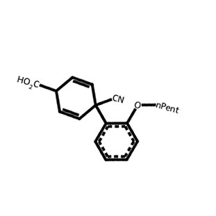 CCCCCOc1ccccc1C1(C#N)C=CC(C(=O)O)C=C1